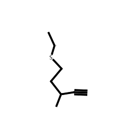 C#CC(C)CCS[CH]C